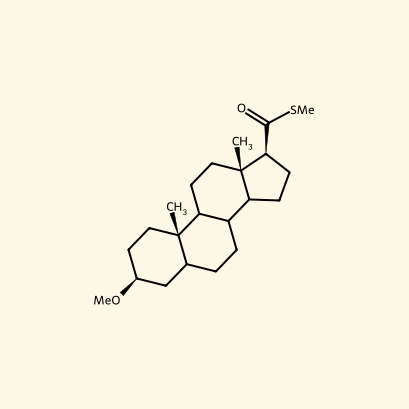 CO[C@H]1CC[C@@]2(C)C(CCC3C2CC[C@@]2(C)C3CC[C@@H]2C(=O)SC)C1